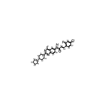 Cc1nc(N2CCC(N3CCCC3)CC2)nc2ccc(NC(=O)C=Cc3ccc(Cl)cc3F)cc12